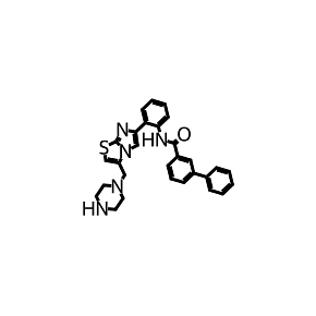 O=C(Nc1ccccc1-c1cn2c(CN3CCNCC3)csc2n1)c1cccc(-c2ccccc2)c1